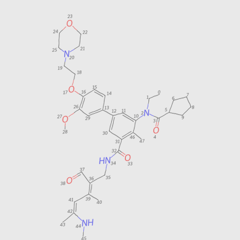 CCN(C(=O)C1CCCC1)c1cc(-c2ccc(OCCN3CCOCC3)c(OC)c2)cc(C(=O)NC/C(C=O)=C(C)/C=C(/C)NC)c1C